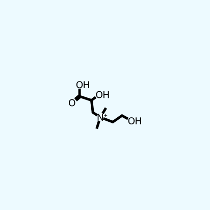 C[N+](C)(CCO)CC(O)C(=O)O